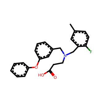 Cc1ccc(F)c(CN(CCC(=O)O)Cc2cccc(Oc3ccccc3)c2)c1